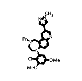 COc1cc(OC)c(Cl)c(N2CCN(C(C)C)Cc3c2ccc2ncc(-c4cnn(C)c4)cc32)c1